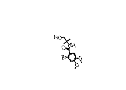 COc1cc(Br)c(C(=O)NC(C)(C)CO)cc1OC